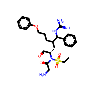 CCS(=O)(=O)N(C(=O)CN)[C@H]([C]=O)CC(CCCOc1ccccc1)C(NC(=N)N)c1ccccc1